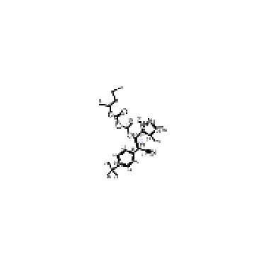 CCCC(C)OC(=O)OC(C)O/C(=C(/C#N)c1ccc(C(C)(C)C)cc1)c1c(C)c(C)nn1C